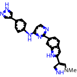 CN/C=C(\C=N)c1cc2ccc(-c3nccc(Nc4ccc(-c5cn[nH]c5)cc4)n3)cc2[nH]1